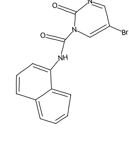 O=C(Nc1cccc2ccccc12)n1cc(Br)cnc1=O